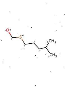 CC(C)CCCSC[O]